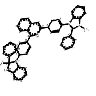 CN1c2ccccc2N(C2=CCC(c3cc4ccccc4c(C4=CCC(N5c6ccccc6NC5(C)c5ccccc5)C=C4)n3)C=C2)C1c1ccccc1